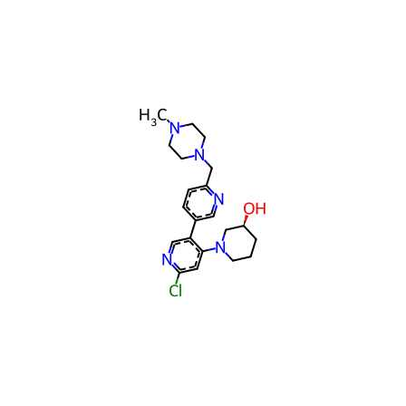 CN1CCN(Cc2ccc(-c3cnc(Cl)cc3N3CCC[C@H](O)C3)cn2)CC1